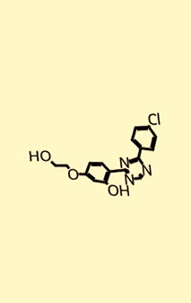 OCCOc1ccc(-c2ncnc(-c3ccc(Cl)cc3)n2)c(O)c1